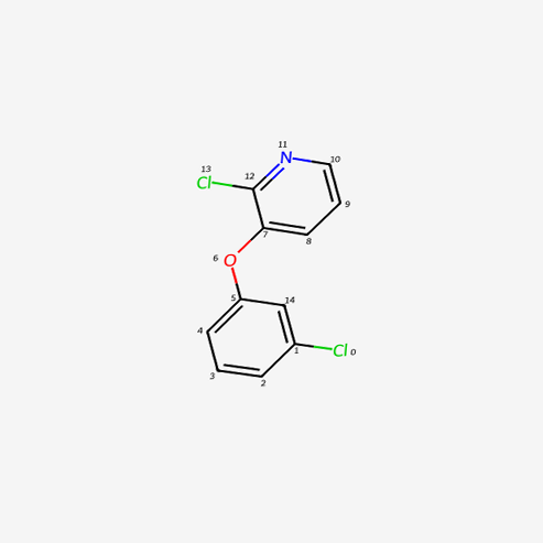 Clc1cccc(Oc2cccnc2Cl)c1